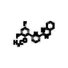 COc1c(F)cc(F)cc1-c1cccc(-c2ncc3ccccc3n2)n1